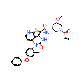 C=CC(=O)N1C[C@H](NC(=O)c2sc3nccc4c3c2NC(=O)N4c2ccc(Oc3ccccc3)cc2C)C[C@@H](OC)C1